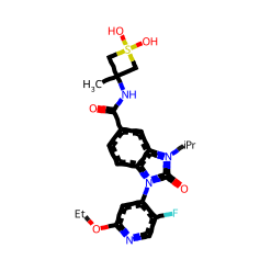 CCOc1cc(-n2c(=O)n(C(C)C)c3cc(C(=O)NC4(C)CS(O)(O)C4)ccc32)c(F)cn1